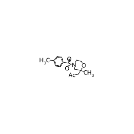 CC(=O)CC1(C)CN(S(=O)(=O)c2ccc(C)cc2)CCO1